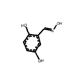 ON=Cc1cc(O)ccc1O